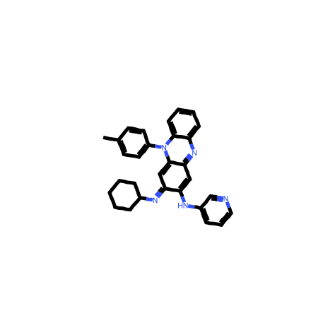 Cc1ccc(-n2c3c/c(=N\C4CCCCC4)c(Nc4cccnc4)cc-3nc3ccccc32)cc1